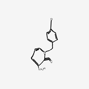 O=C(O)c1cccn(Cc2ccc(Cl)cc2)c1=O